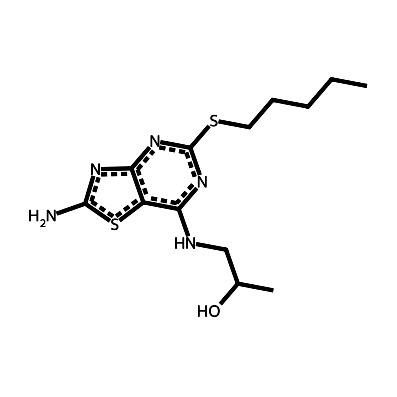 CCCCCSc1nc(NCC(C)O)c2sc(N)nc2n1